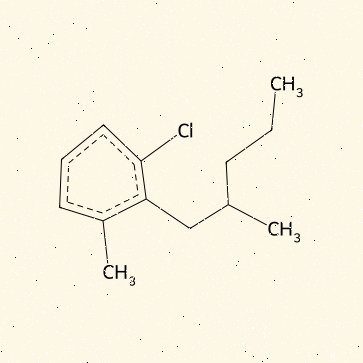 CCCC(C)Cc1c(C)cccc1Cl